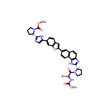 COC(=O)N[C@H](C(=O)N1CCC[C@H]1c1nc2ccc3cc(-c4cc5ccc(-c6cnc([C@@H]7CCCN7C(=O)OC(C)(C)C)[nH]6)cc5s4)ccc3c2[nH]1)C(C)C